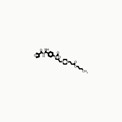 CCCCOC(=O)CCN1CCN(CC2CN(c3ccc(C(=N)NC(=O)c4ccoc4)cc3)C(=O)O2)CC1